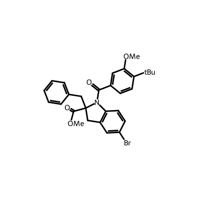 COC(=O)C1(Cc2ccccc2)Cc2cc(Br)ccc2N1C(=O)c1ccc(C(C)(C)C)c(OC)c1